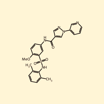 COc1ccc(NC(=O)c2cnn(-c3cccnc3)c2)cc1S(=O)(=O)Nc1c(C)cccc1C